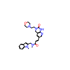 CN(Cc1cc2ccccc2n1C)C(=O)C=Cc1cnc2c(c1)CN(CCN1CCOCC1)C(=O)N2